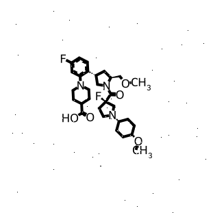 COC[C@@H]1C[C@@H](c2ccc(F)cc2N2CCC(C(=O)O)CC2)CN1C(=O)[C@@]1(F)CCN([C@H]2CC[C@H](OC)CC2)C1